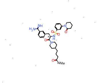 CNC(=O)CCCC1CCN(C(=O)[C@@H](Cc2cccc(C(=N)N)c2)NS(=O)(=O)c2cccc(N3CCCCC3=O)c2)CC1